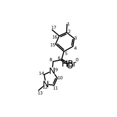 Br.Cc1ccc(C(=O)CN2C=CN(C)C2)cc1C